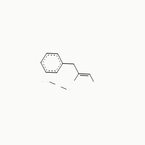 CCC[CH2][Sn+2][CH2]CCC.O=C([O-])/C=C(/Cc1ccccc1)C(=O)[O-]